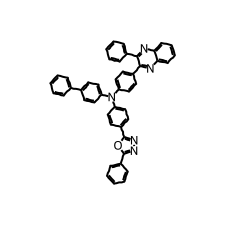 c1ccc(-c2ccc(N(c3ccc(-c4nnc(-c5ccccc5)o4)cc3)c3ccc(-c4nc5ccccc5nc4-c4ccccc4)cc3)cc2)cc1